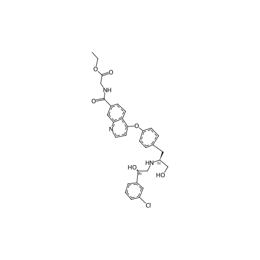 CCOC(=O)CNC(=O)c1ccc2c(Oc3ccc(C[C@@H](CO)NC[C@H](O)c4cccc(Cl)c4)cc3)ccnc2c1